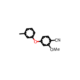 COc1cc(Oc2cccc(C)c2)ccc1C#N